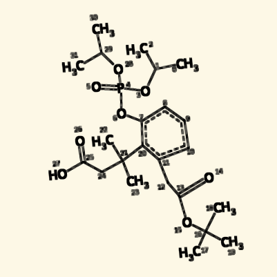 CC(C)OP(=O)(Oc1cccc(CC(=O)OC(C)(C)C)c1C(C)(C)CC(=O)O)OC(C)C